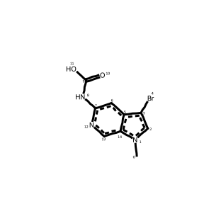 Cn1cc(Br)c2cc(NC(=O)O)ncc21